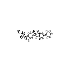 CC(C)(C)OC(=O)N1CCc2cc(OCc3ccc(C4CCCCC4)cc3C(F)(F)F)ccc21